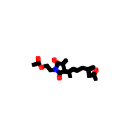 CC(=O)OCCN1C(=O)C(=C(C)C=CCc2coc(C)c2)C(C)C1=O